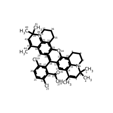 CC1=CC(C)(C)N2CCCc3c4c(cc1c32)C(c1c(Cl)ccc(Cl)c1C(=O)O)=c1cc2c3c(c1O4)CCC[N+]=3C(C)(C)C=C2C